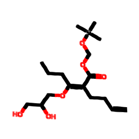 C=CCCC(C(=O)OCO[Si](C)(C)C)=C(CCC)OCC(O)CO